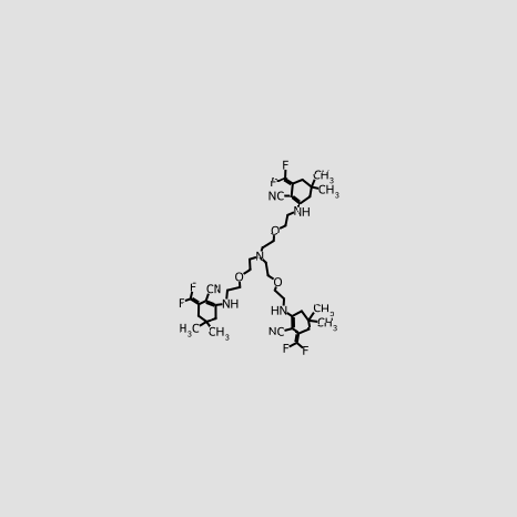 CC1(C)CC(NCCOCCN(CCOCCNC2=C(C#N)C(=C(F)F)CC(C)(C)C2)CCOCCNC2=C(C#N)C(=C(F)F)CC(C)(C)C2)=C(C#N)C(=C(F)F)C1